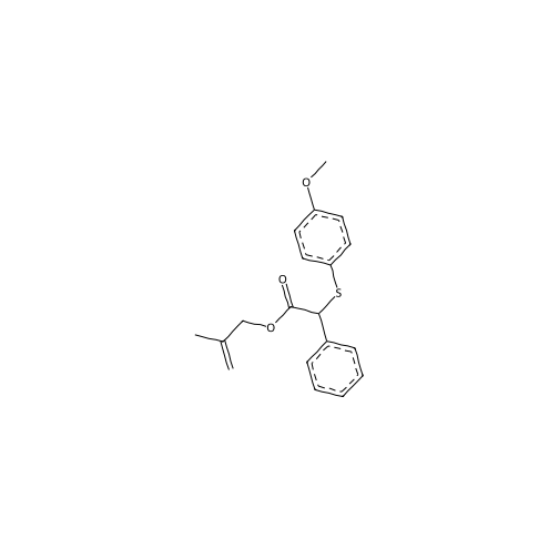 C=C(C)COC(=O)C(Sc1ccc(OC)cc1)c1ccccc1